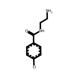 NCCNC(=O)c1ccc(Cl)cc1